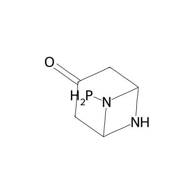 O=C1CC2NC(C1)N2P